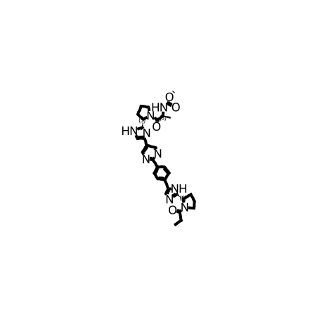 CCC(=O)N1CCC[C@H]1c1ncc(-c2ccc(-c3ncc(-c4c[nH]c([C@@H]5CCCN5C(=O)[C@H](C)NC(=O)OC)n4)cn3)cc2)[nH]1